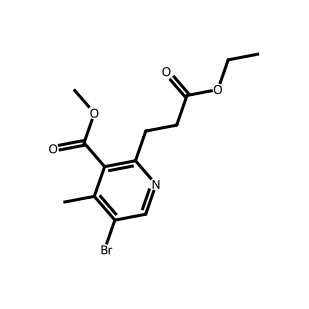 CCOC(=O)CCc1ncc(Br)c(C)c1C(=O)OC